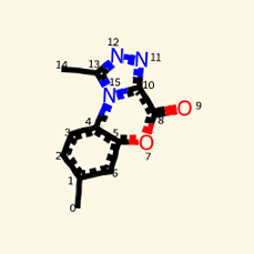 Cc1ccc2c(c1)oc(=O)c1nnc(C)n12